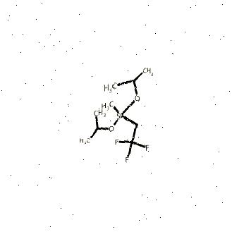 CC(C)O[Si](C)(CC(F)(F)F)OC(C)C